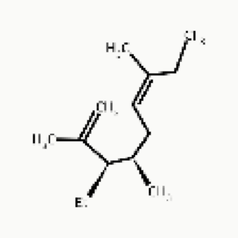 C=C(C)[C@H](CC)[C@H](C)C/C=C(/C)CC(F)(F)F